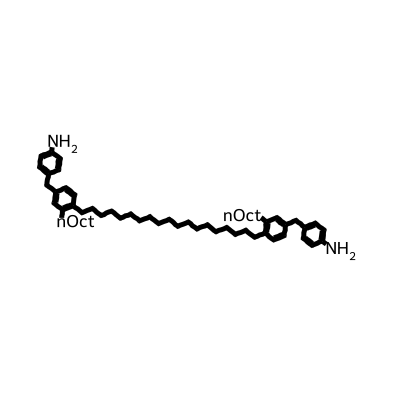 CCCCCCCCc1cc(Cc2ccc(N)cc2)ccc1CCCCCCCCCCCCCCCCCCCc1ccc(Cc2ccc(N)cc2)cc1CCCCCCCC